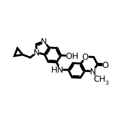 CN1C(=O)COc2cc(Nc3cc4c(cc3O)ncn4CC3CC3)ccc21